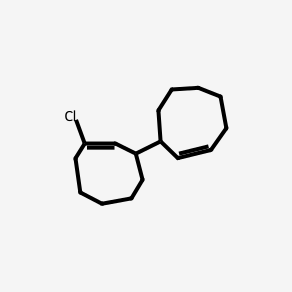 Cl/C1=C/C(C2/C=C\CCCCC2)CCCCC1